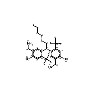 CCCCCCC(c1cc(CN)c(O)cc1C(C)(C)C)c1cc(CN)c(O)cc1C(C)(C)C